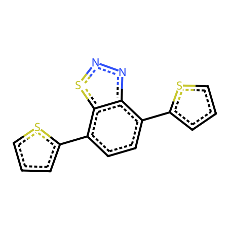 c1csc(-c2ccc(-c3cccs3)c3snnc23)c1